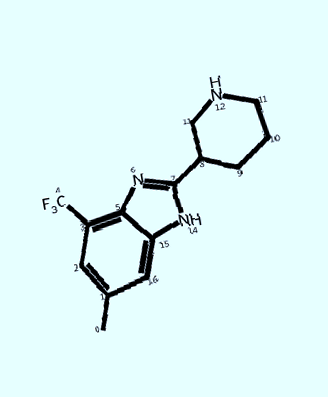 Cc1cc(C(F)(F)F)c2nc(C3CCCNC3)[nH]c2c1